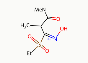 CCS(=O)(=O)/C(=N/O)C(C)C(=O)NC